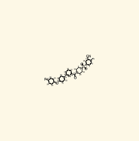 Cc1ccc(S(=O)(=O)N2CCN(C(=O)c3cccc(-c4ccc(Oc5ccc(F)cc5)cc4)n3)CC2)cc1C#N